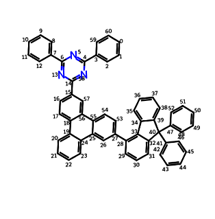 c1ccc(-c2nc(-c3ccccc3)nc(-c3ccc4c5ccccc5c5cc(-c6cccc7c6-c6ccccc6C7(c6ccccc6)c6ccccc6)ccc5c4c3)n2)cc1